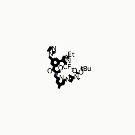 CCn1cc(-c2cc(Cn3ccnc3)cc3c2OC/C(=C\c2cc(C)cc(N4CC(N(C)C(=O)OC(C)(C)C)C4)n2)C3=O)c(C(F)(F)F)n1